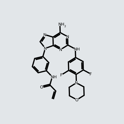 C=CC(=O)Nc1cccc(-n2cnc3c(N)nc(Nc4cc(F)c(N5CCOCC5)c(F)c4)nc32)c1